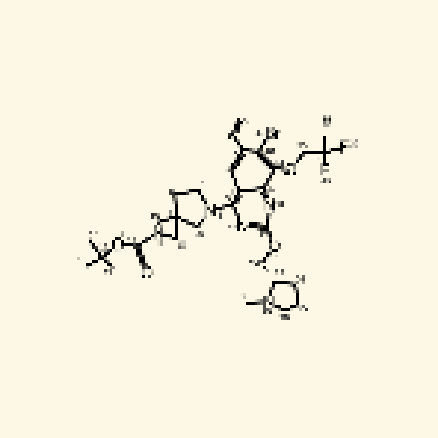 C=Cc1cc2c(N3CCC4(CN(C(=O)OC(C)(C)C)C4)C3)nc(OC[C@@H]3CCCN3C)nc2c(OCC(F)(F)F)c1Br